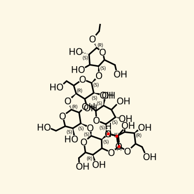 CCO[C@@H]1OC(CO)[C@@H](O[C@@H]2OC(CO)[C@H](O[C@H]3OC(CO)[C@H](O)[C@H](O[C@@H]4OC(CO)[C@H](O)C(O[C@@H]5OC(CO)[C@H](O)C(O)[C@@H]5O[C@@H]5OC(C)[C@@H](O)C(O)[C@@H]5O)[C@@H]4NC(C)=O)C3O)C(O)[C@@H]2O)C(O)[C@@H]1O